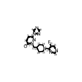 O=c1ccc(-n2cncn2)nn1CC1CCN(c2ncncc2F)CC1